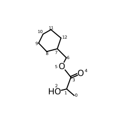 CC(O)C(=O)OCC1CCCCC1